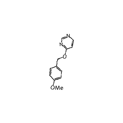 COc1ccc(COc2ccncn2)cc1